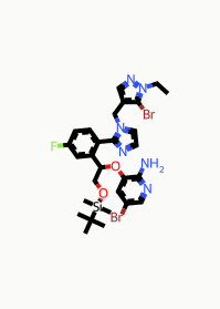 CCn1ncc(Cn2ccnc2-c2ccc(F)cc2C(CO[Si](C)(C)C(C)(C)C)Oc2cc(Br)cnc2N)c1Br